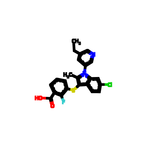 CCc1cncc(-n2c(C)c(Sc3cccc(C(=O)O)c3F)c3ccc(Cl)cc32)c1